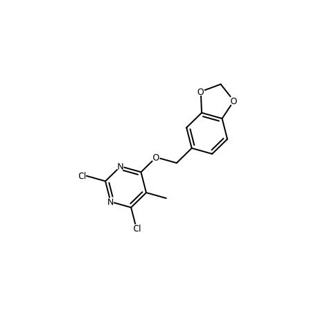 Cc1c(Cl)nc(Cl)nc1OCc1ccc2c(c1)OCO2